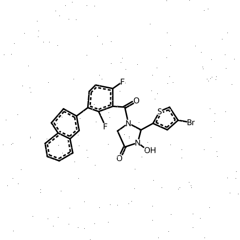 O=C1CN(C(=O)c2c(F)ccc(-c3ccc4ccccc4c3)c2F)C(c2cc(Br)cs2)N1O